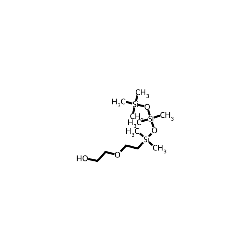 C[Si](C)(C)O[Si](C)(C)O[Si](C)(C)CCOCCO